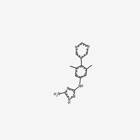 Cc1cc(Nc2n[nH]c(N)n2)cc(C)c1-c1cncnc1